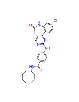 O=C1Cc2cnc(Nc3ccc(C(=O)NC4CCCCCCC4)cc3)nc2-c2ccc(Cl)cc2N1